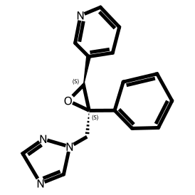 c1ccc([C@@]2(Cn3cncn3)O[C@H]2c2cccnc2)cc1